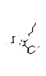 CN1CCC=C(c2nsnc2SCCCCS)C1.O=C(O)C(=O)O